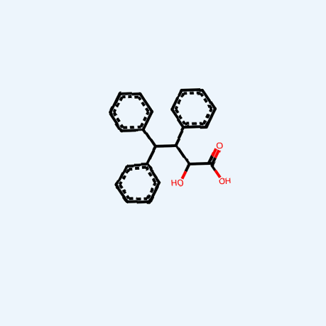 O=C(O)C(O)C(c1ccccc1)C(c1ccccc1)c1ccccc1